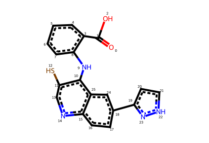 O=C(O)c1ccccc1Nc1c(S)cnc2ccc(-c3cc[nH]n3)cc12